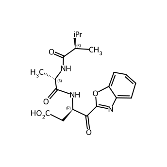 CC(C)[C@@H](C)C(=O)N[C@@H](C)C(=O)N[C@H](CC(=O)O)C(=O)c1nc2ccccc2o1